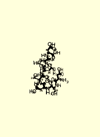 N[C@@H](CC(=O)O)C(=O)N[C@@H](CO)C(=O)N[C@@H](CC(=O)O)C(=O)N[C@@H](CO)C(=O)N[C@@H](CC(=O)O)C(=O)N[C@@H](CO)C(=O)N[C@@H](CC(=O)O)C(=O)O